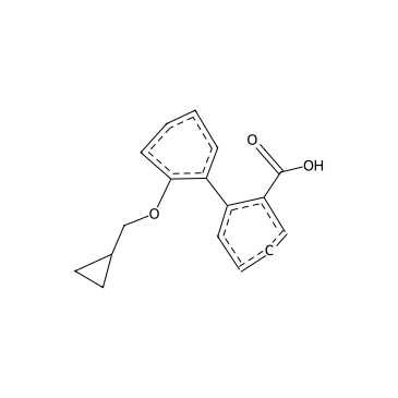 O=C(O)c1ccccc1-c1ccccc1OCC1CC1